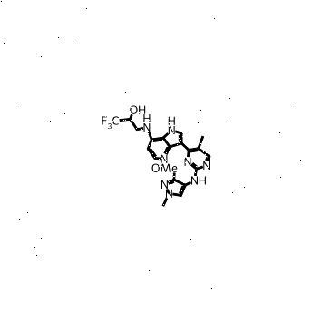 COc1nn(C)cc1Nc1ncc(C)c(-c2c[nH]c3c(NCC(O)C(F)(F)F)ccnc23)n1